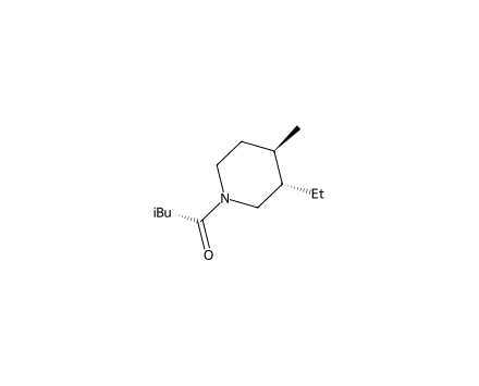 CC[C@@H]1CN(C(=O)[C@@H](C)CC)CC[C@H]1C